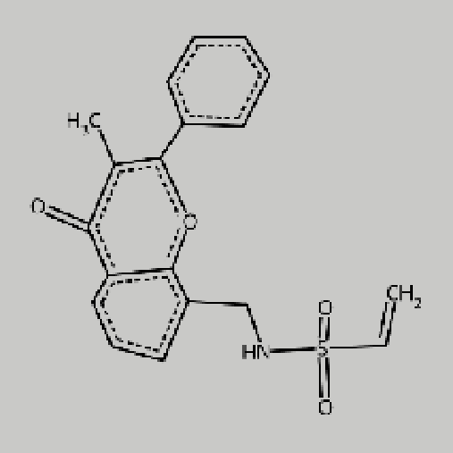 C=CS(=O)(=O)NCc1cccc2c(=O)c(C)c(-c3ccccc3)oc12